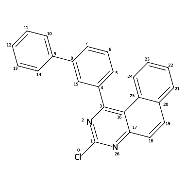 Clc1nc(-c2cccc(-c3ccccc3)c2)c2c(ccc3ccccc32)n1